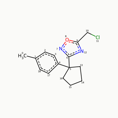 Cc1ccc(C2(c3noc(CCl)n3)CCCC2)cc1